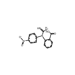 N=C(N)N(c1ccc([N+](=O)[O-])cc1)c1ccccc1C(=O)O